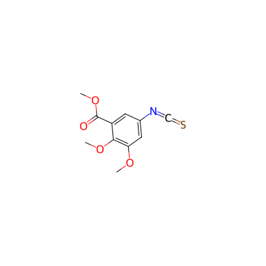 COC(=O)c1cc(N=C=S)cc(OC)c1OC